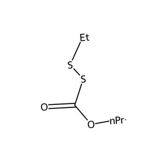 CC[CH]OC(=O)SSCC